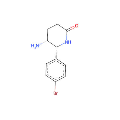 N[C@@H]1CCC(=O)N[C@@H]1c1ccc(Br)cc1